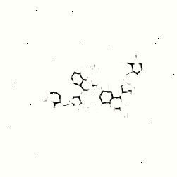 CCn1cccc(Cn2cc(-c3nc(Nc4cc(OC)c5nc(N)nc(-c6cn(Cc7cccn(C)c7=O)nn6)c5c4)nc4c(OC)cccc34)cn2)c1=O